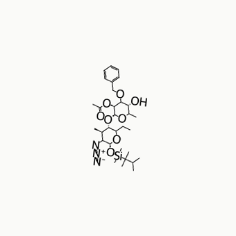 CCC1O[C@@H](O[Si](C)(C)C(C)(C)C(C)C)C(N=[N+]=[N-])[C@@H](C)[C@@H]1O[C@@H]1OC(C)[C@@H](O)C(OCc2ccccc2)[C@@H]1OC(C)=O